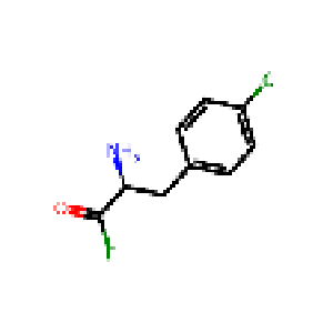 N[C@@H](Cc1ccc(Cl)cc1)C(=O)F